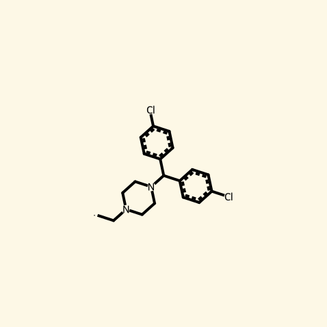 [CH2]CN1CCN(C(c2ccc(Cl)cc2)c2ccc(Cl)cc2)CC1